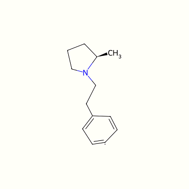 C[C@@H]1CCCN1CCc1cc[c]cc1